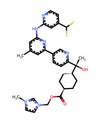 Cc1cc(Nc2cc(C(F)F)ccn2)nc(-c2ccc([C@](C)(O)[C@H]3CC[C@H](C(=O)OCn4cc[n+](C)c4)CC3)nc2)c1